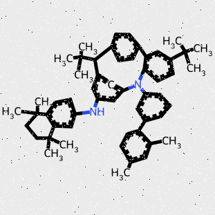 Cc1ccc(-c2cccc(N3c4cc(Nc5ccc6c(c5)C(C)(C)CCC6(C)C)cc(c4)C(C(C)(C)C)c4ccc(cc4)-c4cc(C(C)(C)C)ccc43)c2)c(C)c1